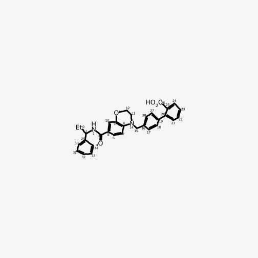 CCC(NC(=O)c1ccc2c(c1)OCCN2Cc1ccc(-c2ccccc2C(=O)O)cc1)c1ccccc1